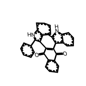 Cc1[nH]c2ccccc2c1C1=C(c2c(-c3ccccc3)[nH]c3ccccc23)C(=O)c2ccccc2C1=O